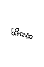 O=C(c1ccccc1-c1ccccc1F)N1CC2CC(C1)CN(c1nc3ccccc3s1)C2